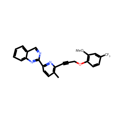 COc1cc(C(F)(F)F)ccc1OCC#Cc1nc(-c2ncc3ccccc3n2)ccc1C